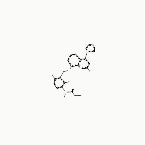 Cc1cc(-n2ccnc2)c2cccc(OCc3c(Cl)ccc(N(C)C(=O)CN)c3Cl)c2n1